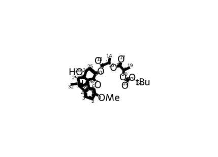 COc1ccc2c3c1OC1C(OC(=O)C(C)OC(=O)C(C)OC(=O)OC(C)(C)C)=CCC4(O)C(C2)N(C)CCC314